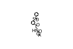 CC(C)(C)OC(=O)NCCC(=O)c1cccc(SC(=O)c2ccccc2)c1